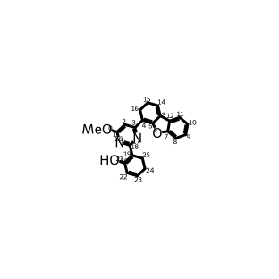 COc1cc(C2=c3oc4ccccc4c3=CCC2)nc(C2=C(O)C=CCC2)n1